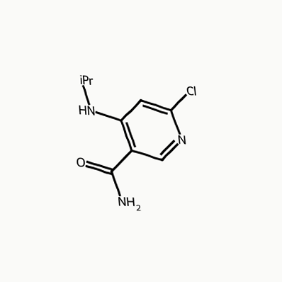 CC(C)Nc1cc(Cl)ncc1C(N)=O